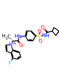 C[C@H](C(=O)Nc1ccc(S(=O)(=O)NC(=O)C2CCC2)cc1)n1ccc2c(F)cccc21